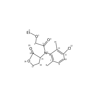 CCOCC(=O)N(c1c(C)ccc(Cl)c1C)C1CCOC1=O